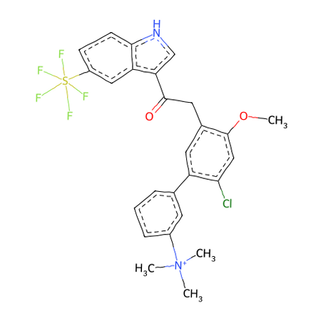 COc1cc(Cl)c(-c2cccc([N+](C)(C)C)c2)cc1CC(=O)c1c[nH]c2ccc(S(F)(F)(F)(F)F)cc12